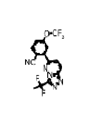 CC(F)(F)c1nnc2ccc(-c3cc(OC(F)(F)F)ccc3C#N)nn12